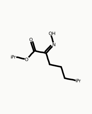 CC(C)CCCC(=NO)C(=O)OC(C)C